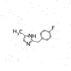 Cc1cnc(Cc2ccc(F)cc2)[nH]1